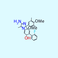 COc1c(C)cc(C2(C3(OC)C=CC(O)C(c4ccccc4F)=C3)N=C(C)C(N)=N2)cc1C